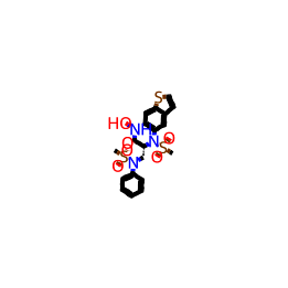 CS(=O)(=O)N(C[C@H](C(=O)NO)N(c1ccc2sccc2c1)S(C)(=O)=O)c1ccccc1